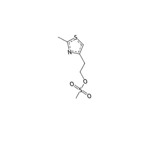 Cc1nc(CCOS(C)(=O)=O)cs1